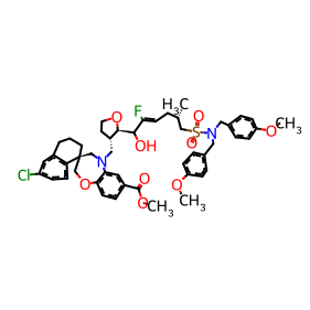 COC(=O)c1ccc2c(c1)N(C[C@@H]1CCO[C@H]1C(O)/C(F)=C/C[C@H](C)CS(=O)(=O)N(Cc1ccc(OC)cc1)Cc1ccc(OC)cc1)C[C@@]1(CCCc3cc(Cl)ccc31)CO2